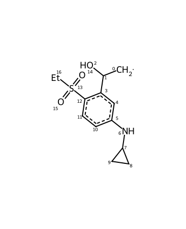 [CH2]C(O)c1cc(NC2CC2)ccc1S(=O)(=O)CC